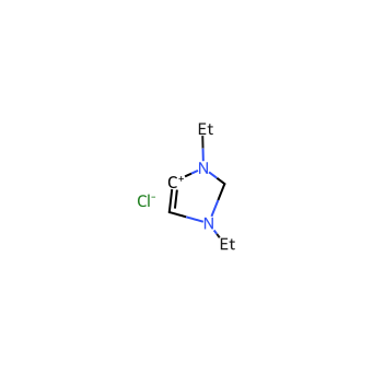 CCN1[C+]=CN(CC)C1.[Cl-]